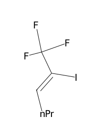 CCCC=C(I)C(F)(F)F